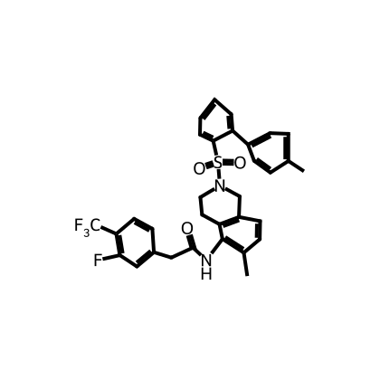 Cc1ccc(-c2ccccc2S(=O)(=O)N2CCc3c(ccc(C)c3NC(=O)Cc3ccc(C(F)(F)F)c(F)c3)C2)cc1